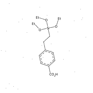 CCO[Si](CCc1ccc(C(=O)O)cc1)(OCC)OCC